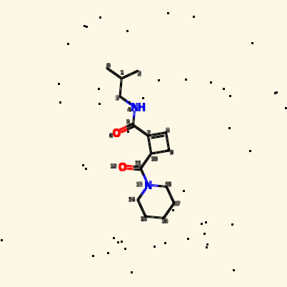 CC(C)CNC(=O)C1=CCC1C(=O)N1CCCCC1